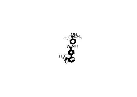 Cc1coc2ccnc(-c3ccc(C(=O)N[C@H]4CC[C@H](C(C)(C)O)CC4)cc3)c12